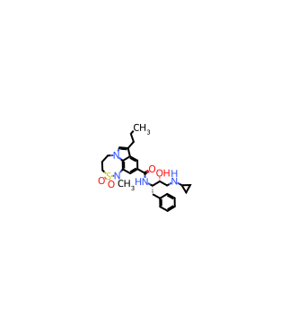 CCCc1cn2c3c(cc(C(=O)N[C@@H](Cc4ccccc4)[C@H](O)CNC4CC4)cc13)N(C)S(=O)(=O)CCC2